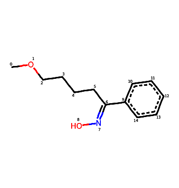 COCCCCC(=NO)c1ccccc1